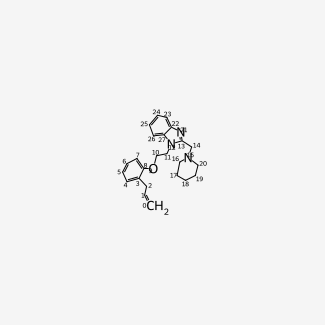 C=CCc1ccccc1OCCn1c(CN2CCCCC2)nc2ccccc21